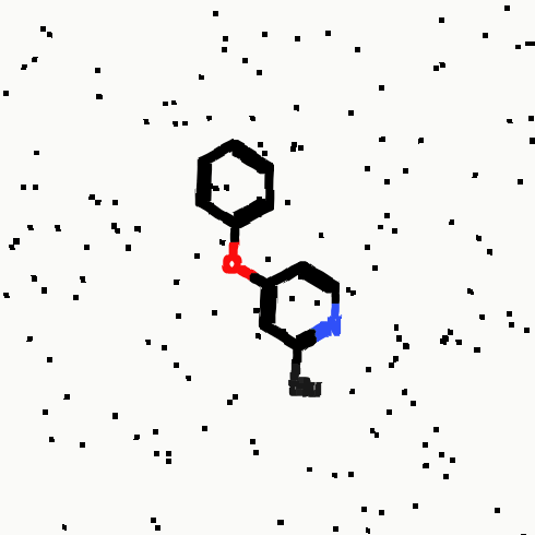 CC(C)(C)c1cc(Oc2ccccc2)ccn1